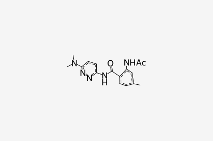 CC(=O)Nc1cc(C)ccc1C(=O)Nc1ccc(N(C)C)nn1